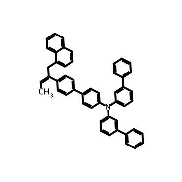 C/C=C(/Cc1cccc2ccccc12)c1ccc(-c2ccc(N(c3cccc(-c4ccccc4)c3)c3cccc(-c4ccccc4)c3)cc2)cc1